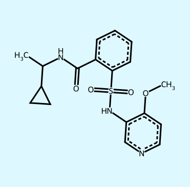 COc1ccncc1NS(=O)(=O)c1ccccc1C(=O)NC(C)C1CC1